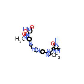 Cn1c(=O)n(C2CCC(=O)NC2=O)c2ccc(N3CC(CN4CCN(c5ccc(-c6ncc(C(F)(F)F)c(-c7cc8c([nH]7)C7(CC7)CNC8=O)n6)cc5)CC4)C3)cc21